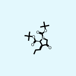 CC/C=C1/C(=O)CN(C(=O)OC(C)(C)C)[C@@H]1C(=O)OC(C)(C)C